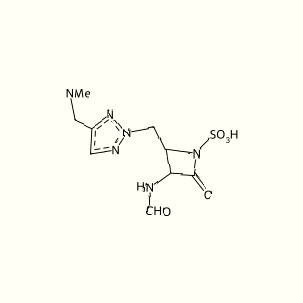 CNCc1cnn(CC2C(NC=O)C(=O)N2S(=O)(=O)O)n1